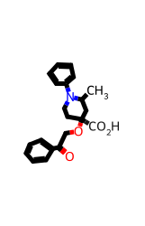 CC1CC(OCC(=O)c2ccccc2)(C(=O)O)CCN1c1ccccc1